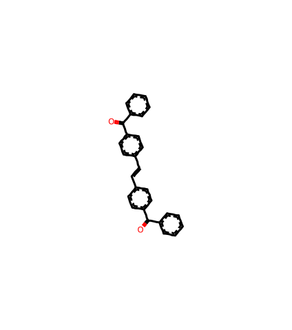 O=C(c1ccccc1)c1ccc(C=Cc2ccc(C(=O)c3ccccc3)cc2)cc1